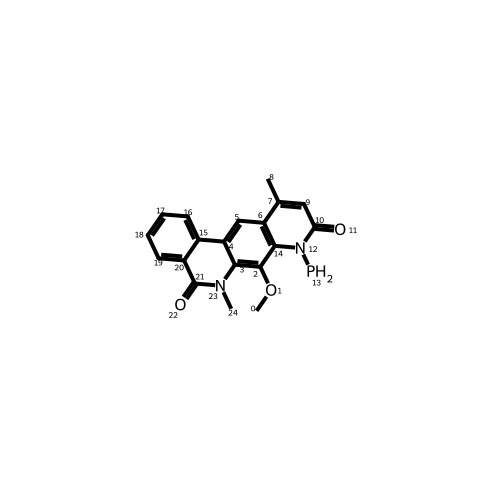 COc1c2c(cc3c(C)cc(=O)n(P)c13)c1ccccc1c(=O)n2C